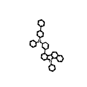 C1=CC(c2cccc3c2c2ccc4ccccc4c2n3-c2ccccc2)=CC(N(c2ccccc2)c2ccc(-c3ccccc3)cc2)C1